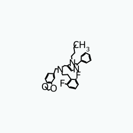 CCCCn1c(CN(CCc2c(F)cccc2F)Cc2ccc3c(c2)OCO3)cnc1-c1ccccc1